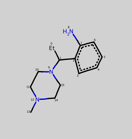 CCC(c1ccccc1N)N1CCN(C)CC1